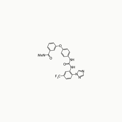 CNC(=O)c1cccc(Oc2ccc(NC(=O)Nc3cc(C(F)(F)F)ccc3-n3cncn3)cc2)c1